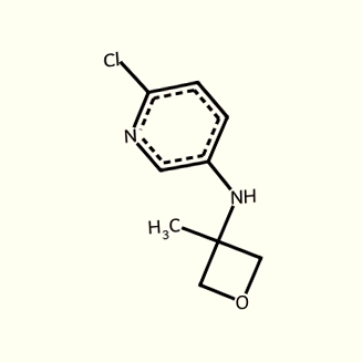 CC1(Nc2ccc(Cl)nc2)COC1